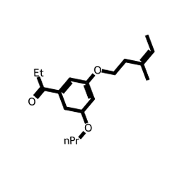 C/C=C(/C)CCOC1=CC(OCCC)CC(C(=O)CC)=C1